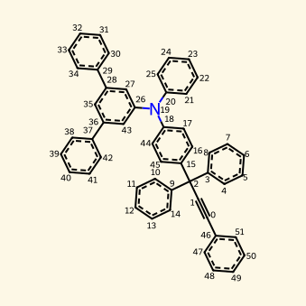 C(#CC(c1ccccc1)(c1ccccc1)c1ccc(N(c2ccccc2)c2cc(-c3ccccc3)cc(-c3ccccc3)c2)cc1)c1ccccc1